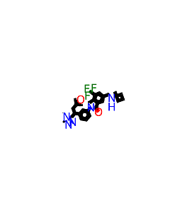 Cn1cnnc1C(CC1COC1)c1cccc(N2Cc3c(cc(CNC4(C)CCC4)cc3C(F)(F)F)C2=O)c1